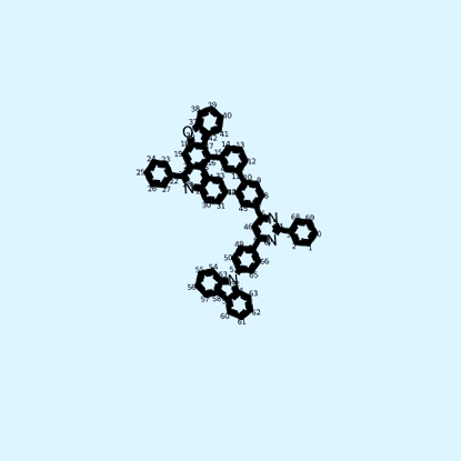 c1ccc(-c2nc(-c3ccc(-c4cccc(-c5c6c(cc7c(-c8ccccc8)nc8ccccc8c57)oc5ccccc56)c4)cc3)cc(-c3ccc(-n4c5ccccc5c5ccccc54)cc3)n2)cc1